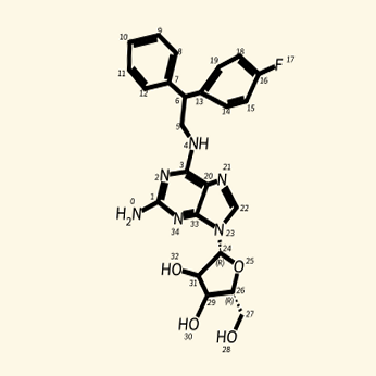 Nc1nc(NCC(c2ccccc2)c2ccc(F)cc2)c2ncn([C@@H]3O[C@H](CO)C(O)C3O)c2n1